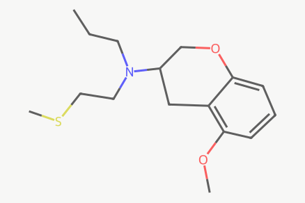 CCCN(CCSC)C1COc2cccc(OC)c2C1